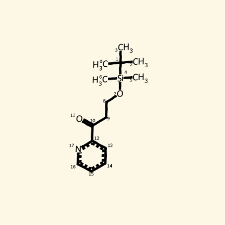 CC(C)(C)[Si](C)(C)OCCC(=O)c1ccccn1